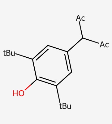 CC(=O)C(C(C)=O)c1cc(C(C)(C)C)c(O)c(C(C)(C)C)c1